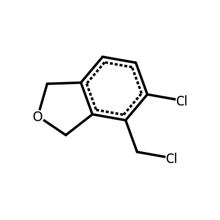 ClCc1c(Cl)ccc2c1COC2